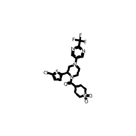 O=C(C1CCS(=O)(=O)CC1)N1CCN(c2cnc(C(F)(F)F)nc2)CC1c1ccc(Cl)s1